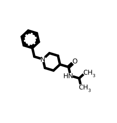 CC(C)NC(=O)C1CCN(Cc2ccccc2)CC1